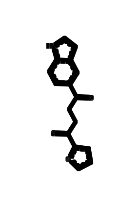 O=C(CCC(=O)c1ccco1)c1ccc2[nH]ccc2c1